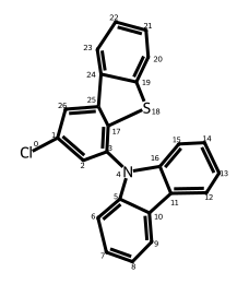 Clc1cc(-n2c3ccccc3c3ccccc32)c2sc3ccccc3c2c1